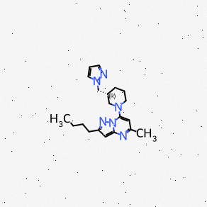 CCCCc1cc2nc(C)cc(N3CCC[C@@H](Cn4cccn4)C3)n2n1